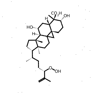 C=C(C)[C@H](CC[C@H](C)[C@@H]1CC[C@]2(C)[C@H]3[C@H](O)C[C@@H]4[C@@](C)(C(=O)O)[C@H](O)CC[C@]45CC35CC[C@@]12C)OO